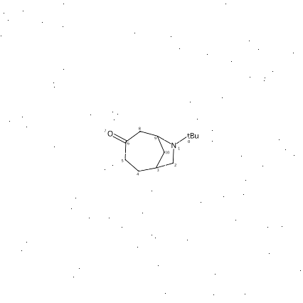 CC(C)(C)N1CC2CCC(=O)CC1C2